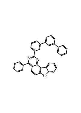 c1ccc(-c2cccc(-c3cccc(-c4nc(-c5ccccc5)c5ccc6oc7ccccc7c6c5n4)c3)c2)cc1